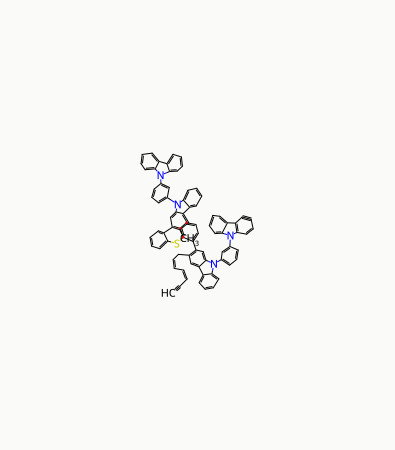 C#C/C=C\C=C/Cc1cc2c3ccccc3n(-c3cccc(-n4c5ccc#cc5c5ccccc54)c3)c2cc1-c1ccccc1Sc1ccccc1-c1cc2c(cc1C)c1ccccc1n2-c1cccc(-n2c3ccccc3c3ccccc32)c1